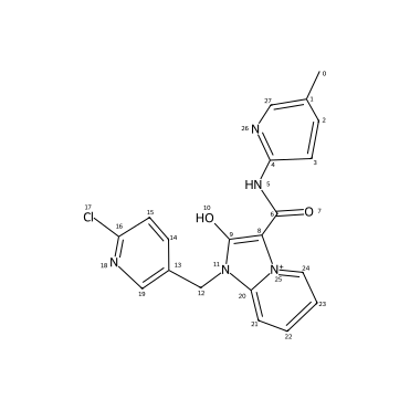 Cc1ccc(NC(=O)c2c(O)n(Cc3ccc(Cl)nc3)c3cccc[n+]23)nc1